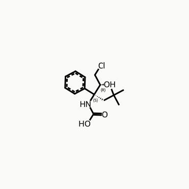 CC(C)(C)C[C@](NC(=O)O)(c1ccccc1)[C@@H](O)CCl